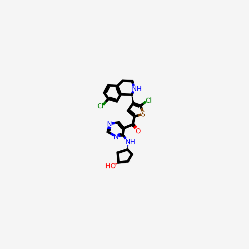 O=C(c1cc([C@@H]2NCCc3ccc(Cl)cc32)c(Cl)s1)c1cncnc1N[C@@H]1C[CH][C@H](O)C1